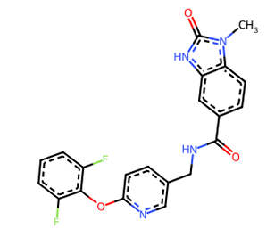 Cn1c(=O)[nH]c2cc(C(=O)NCc3ccc(Oc4c(F)cccc4F)nc3)ccc21